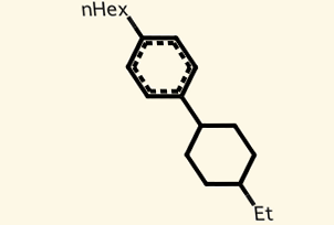 CCCCCCc1ccc(C2CCC(CC)CC2)cc1